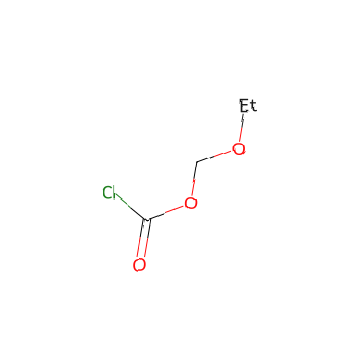 CCOCOC(=O)Cl